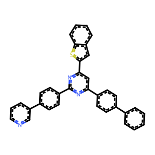 c1ccc(-c2ccc(-c3cc(-c4cc5ccccc5s4)nc(-c4ccc(-c5cccnc5)cc4)n3)cc2)cc1